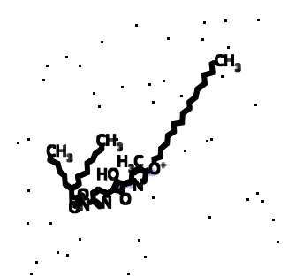 CCCCCCCCCCCCCCCCCC/[O+]=C1C=N/C(=C2\C(=O)C(c3ccc(NS(=O)(=O)CC(CCCCCC)CCCCCCCC)cn3)=C2O)C=C/1C